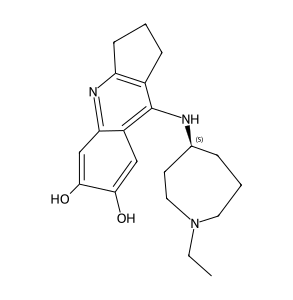 CCN1CCC[C@H](Nc2c3c(nc4cc(O)c(O)cc24)CCC3)CC1